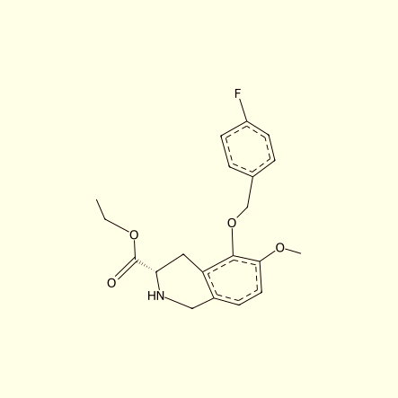 CCOC(=O)[C@@H]1Cc2c(ccc(OC)c2OCc2ccc(F)cc2)CN1